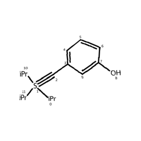 CC(C)S(#Cc1cccc(O)c1)(C(C)C)C(C)C